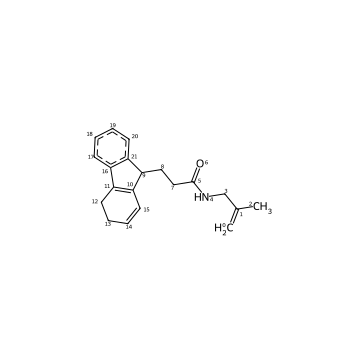 C=C(C)CNC(=O)CCC1C2=C(CCC=C2)c2ccccc21